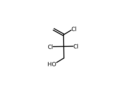 C=C(Cl)C(Cl)(Cl)CO